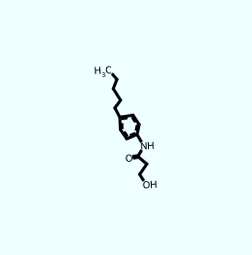 CCCCCc1ccc(NC(=O)CCO)cc1